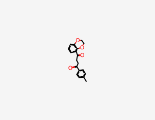 Cc1ccc(C(=O)CCC(=O)c2cccc3c2OCCO3)cc1